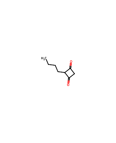 CCCC[C]1C(=O)CC1=O